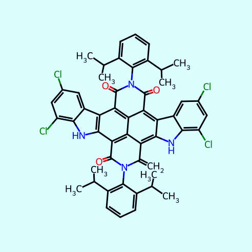 C=c1c2c3[nH]c4c(Cl)cc(Cl)cc4c3c3c4c(c5c6cc(Cl)cc(Cl)c6[nH]c5c(c(=O)n1-c1c(C(C)C)cccc1C(C)C)c42)C(=O)N(c1c(C(C)C)cccc1C(C)C)C3=O